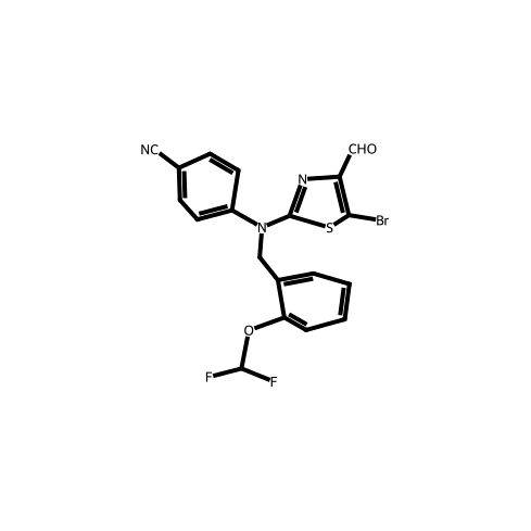 N#Cc1ccc(N(Cc2ccccc2OC(F)F)c2nc(C=O)c(Br)s2)cc1